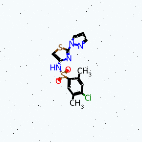 Cc1cc(S(=O)(=O)Nc2csc(-n3cccn3)n2)c(C)cc1Cl